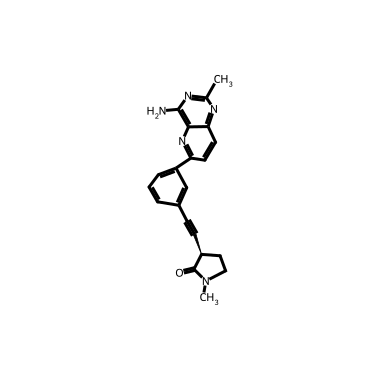 Cc1nc(N)c2nc(-c3cccc(C#C[C@H]4CCN(C)C4=O)c3)ccc2n1